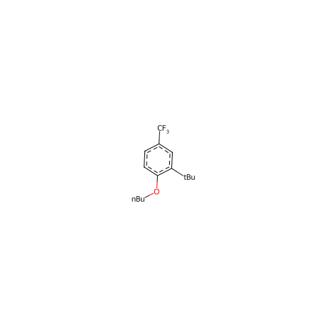 CCCCOc1ccc(C(F)(F)F)cc1C(C)(C)C